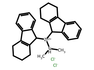 C[SiH](C)[Zr+2]([CH]1C2=C(CCCC2)c2ccccc21)[CH]1C2=C(CCCC2)c2ccccc21.[Cl-].[Cl-]